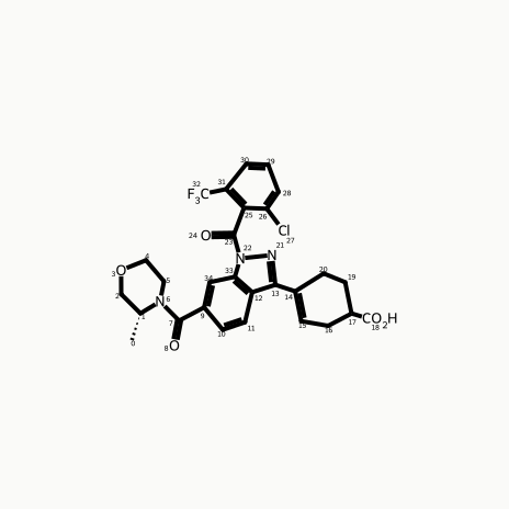 C[C@@H]1COCCN1C(=O)c1ccc2c(C3=CCC(C(=O)O)CC3)nn(C(=O)c3c(Cl)cccc3C(F)(F)F)c2c1